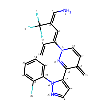 C=C/C(=C\C(=C/N)C(F)(F)F)N1C=CC(=C)C(c2ccnn2-c2ccccc2F)=N1